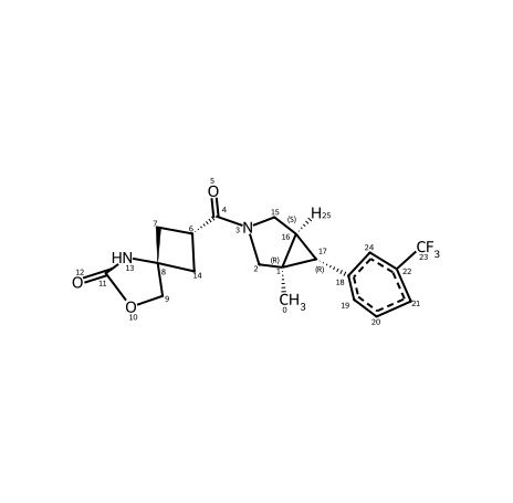 C[C@]12CN(C(=O)[C@H]3C[C@]4(COC(=O)N4)C3)C[C@H]1[C@@H]2c1cccc(C(F)(F)F)c1